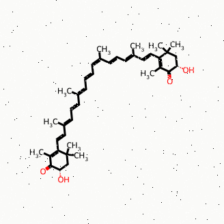 CC1=C(/C=C/C(C)=C/C=C/C(C)=C\C=C\C=C(C)\C=C\C=C(C)\C=C\C2=C(C)C(=O)[C@@H](O)CC2(C)C)C(C)(C)C[C@H](O)C1=O